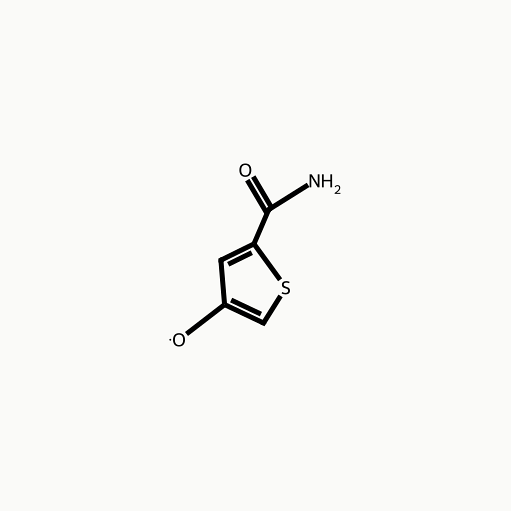 NC(=O)c1cc([O])cs1